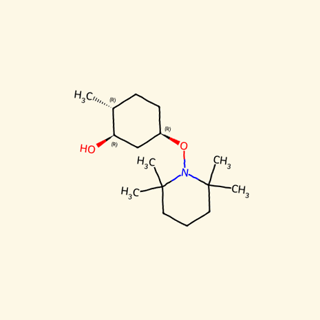 C[C@@H]1CC[C@@H](ON2C(C)(C)CCCC2(C)C)C[C@H]1O